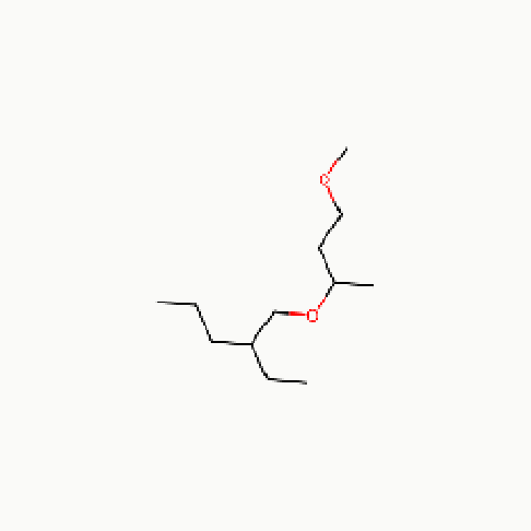 CCCC(CC)COC(C)CCOC